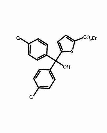 CCOC(=O)c1ccc(C(O)(c2ccc(Cl)cc2)c2ccc(Cl)cc2)s1